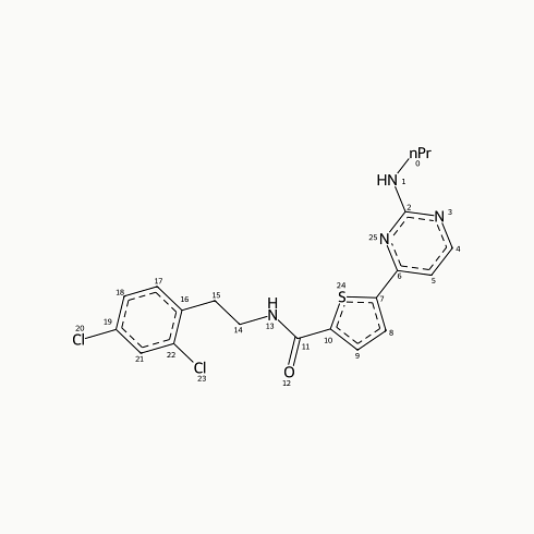 CCCNc1nccc(-c2ccc(C(=O)NCCc3ccc(Cl)cc3Cl)s2)n1